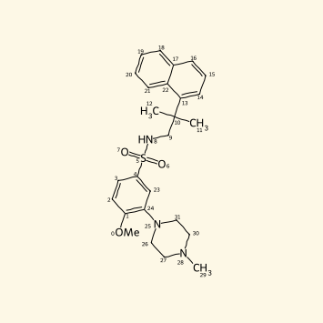 COc1ccc(S(=O)(=O)NCC(C)(C)c2cccc3ccccc23)cc1N1CCN(C)CC1